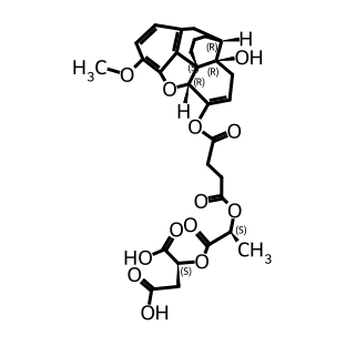 COc1ccc2c3c1O[C@H]1C(OC(=O)CCC(=O)O[C@@H](C)C(=O)O[C@@H](CC(=O)O)C(=O)O)=CC[C@@]4(O)[C@H](CCC[C@]314)C2